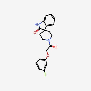 O=C(COc1cccc(F)c1)N1CCC2(CC1)C(=O)Nc1ccccc12